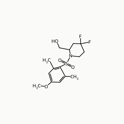 COc1cc(C)c(S(=O)(=O)N2CCC(F)(F)CC2CO)c(C)c1